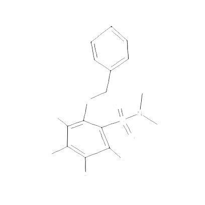 CN(C)S(=O)(=O)c1c(F)c(F)c(F)c(F)c1SCc1ccccc1